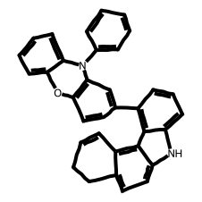 C1=Cc2c(ccc3[nH]c4cccc(-c5ccc6c(c5)N(c5ccccc5)c5ccccc5O6)c4c23)CC1